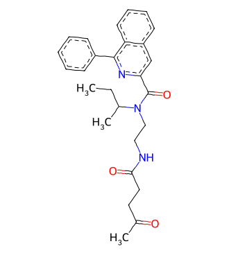 CCC(C)N(CCNC(=O)CCC(C)=O)C(=O)c1cc2ccccc2c(-c2ccccc2)n1